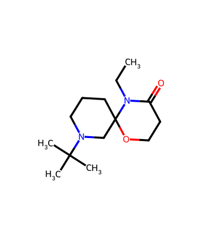 CCN1C(=O)CCOC12CCCN(C(C)(C)C)C2